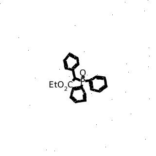 CCOC(=O)C(c1ccccc1)P(=O)(c1ccccc1)c1ccccc1